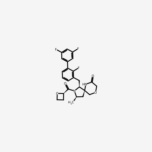 C[C@@H]1C[C@@]2(COCC(=O)N2)[C@H](Cc2cccc(-c3cc(F)cc(F)c3)c2F)N1C(=O)[C@H]1CCO1